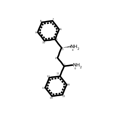 NC(C[C@@H](N)c1ccccc1)c1ccccc1